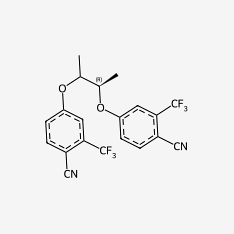 CC(Oc1ccc(C#N)c(C(F)(F)F)c1)[C@@H](C)Oc1ccc(C#N)c(C(F)(F)F)c1